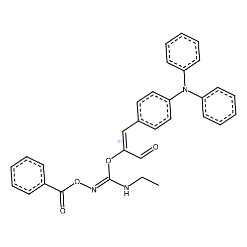 CCNC(=NOC(=O)c1ccccc1)O/C(C=O)=C/c1ccc(N(c2ccccc2)c2ccccc2)cc1